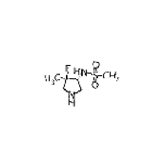 C[C@]1(F)CNC[C@H]1NS(C)(=O)=O